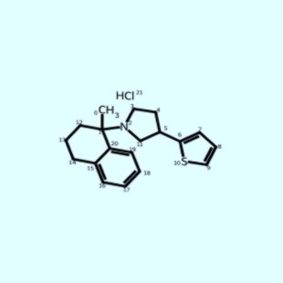 CC1(N2CCC(c3cccs3)C2)CCCc2ccccc21.Cl